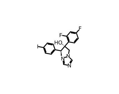 C[C@@H](c1ccc(I)cc1)[C@](O)(Cn1cncn1)c1ccc(F)cc1F